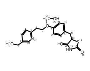 CCc1ccc(CCOc2ccc(CC3SC(=O)NC3=O)cc2)nc1.CO